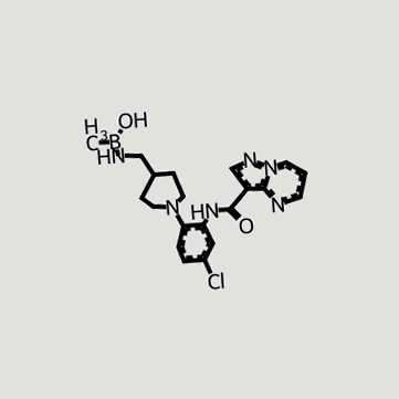 CB(O)NCC1CCN(c2ccc(Cl)cc2NC(=O)c2cnn3cccnc23)CC1